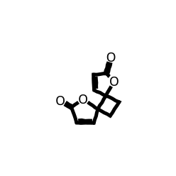 O=C1C=CC2(CCC23C=CC(=O)O3)O1